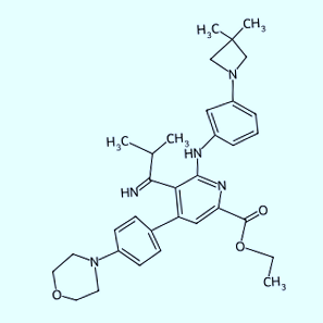 CCOC(=O)c1cc(-c2ccc(N3CCOCC3)cc2)c(C(=N)C(C)C)c(Nc2cccc(N3CC(C)(C)C3)c2)n1